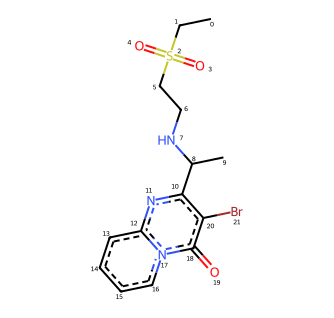 CCS(=O)(=O)CCNC(C)c1nc2ccccn2c(=O)c1Br